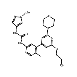 Cc1ccc(NC(=O)Nc2cnn(C(C)(C)C)c2)cc1-c1cc(OCCO)nc(N2CCOCC2)c1